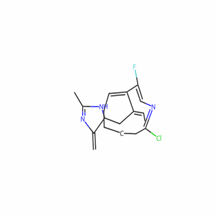 C=C1N=C(C)NC1CC(=C\C)/C1=C\CCCC/C(Cl)=N\C=C\1F